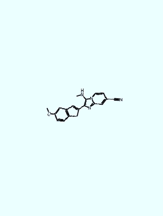 CNc1c(C2=Cc3cc(OC)ccc3C2)nc2cc(C#N)ccn12